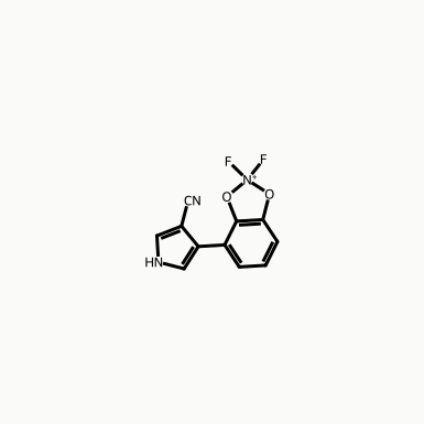 N#Cc1c[nH]cc1-c1cccc2c1O[N+](F)(F)O2